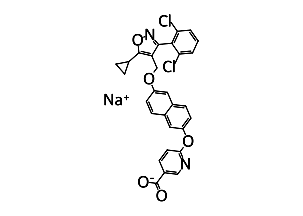 O=C([O-])c1ccc(Oc2ccc3cc(OCc4c(-c5c(Cl)cccc5Cl)noc4C4CC4)ccc3c2)nc1.[Na+]